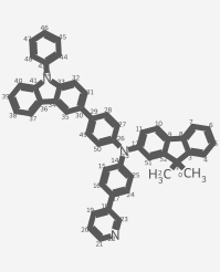 CC1(C)c2ccccc2-c2ccc(N(c3ccc(-c4cccnc4)cc3)c3ccc(-c4ccc5c(c4)c4ccccc4n5-c4ccccc4)cc3)cc21